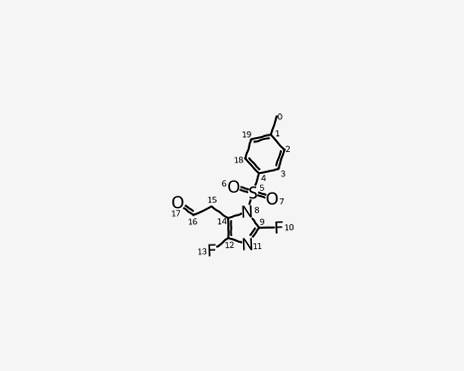 Cc1ccc(S(=O)(=O)n2c(F)nc(F)c2CC=O)cc1